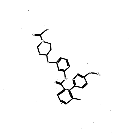 Cc1cccc(C(=O)Nc2cccc(OC3CCN(C(=O)C(C)C)CC3)c2)c1-c1ccc(OC(F)(F)F)cc1